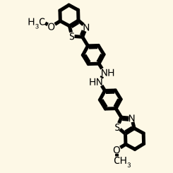 COC1CCCc2nc(-c3ccc(NNc4ccc(-c5nc6c(s5)C(OC)CCC6)cc4)cc3)sc21